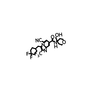 N#Cc1cc(C(=O)NC2(CO)CCOCC2)cc2nc(C(F)(F)F)c(CC3CCC(F)(F)CC3)n12